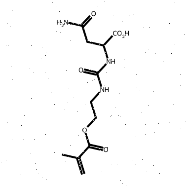 C=C(C)C(=O)OCCNC(=O)NC(CC(N)=O)C(=O)O